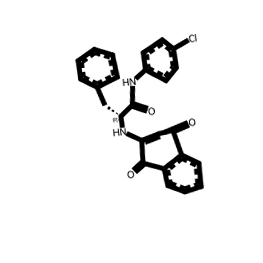 O=C1C=C(N[C@H](Cc2ccccc2)C(=O)Nc2ccc(Cl)cc2)C(=O)c2ccccc21